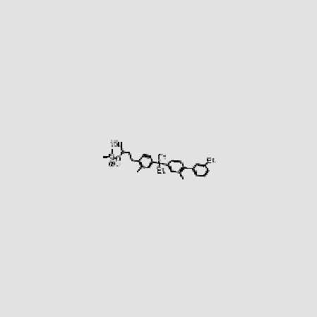 CCc1cccc(-c2ccc(C(CC)(CC)c3ccc(CCC(O[Si](C)(C)C(C)(C)C)C(C)(C)C)c(C)c3)cc2C)c1